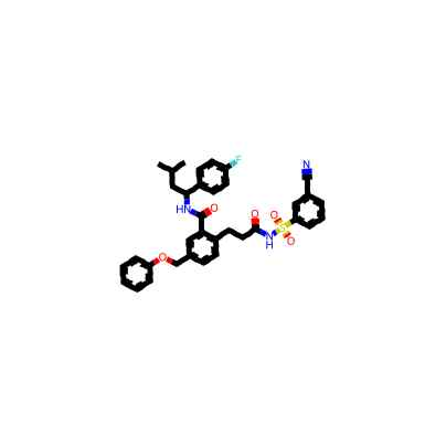 CC(C)CC(NC(=O)c1cc(COc2ccccc2)ccc1CCC(=O)NS(=O)(=O)c1cccc(C#N)c1)c1ccc(F)cc1